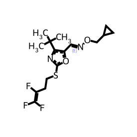 CC(C)(C)c1nc(SCCC(F)=C(F)F)oc1/C=N/OCC1CC1